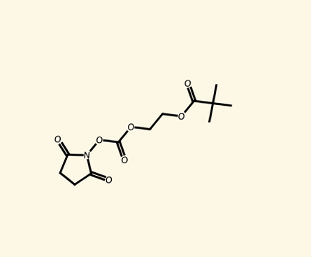 CC(C)(C)C(=O)OCCOC(=O)ON1C(=O)CCC1=O